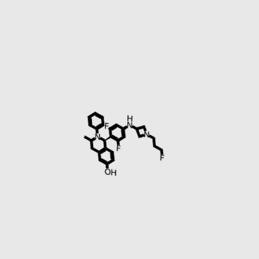 CC1Cc2cc(O)ccc2[C@H](c2c(F)cc(NC3CN(CCCF)C3)cc2F)N1c1ccccc1